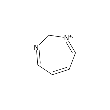 C1=CC=[N+]CN=C1